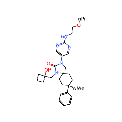 CCCOCCNc1ncc(N2C[C@]3(CC[C@@](NC)(c4ccccc4)CC3)N(CC3(O)CCC3)C2=O)cn1